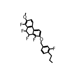 CCCc1ccc(COc2ccc3c(c2F)C(F)C(F)c2c-3ccc(OC)c2F)cc1F